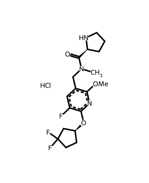 COc1nc(O[C@H]2CCC(F)(F)C2)c(F)cc1CN(C)C(=O)[C@@H]1CCCN1.Cl